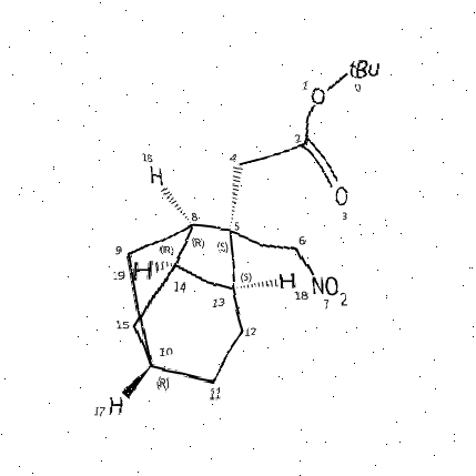 CC(C)(C)OC(=O)C[C@@]1(C[N+](=O)[O-])[C@@H]2C[C@@H]3CC[C@H]1[C@H]2C3